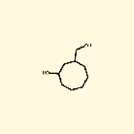 OCC1CCCCCC(O)C1